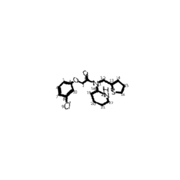 O=C(COc1cccc(Cl)c1)N(CC1CCCS1)C1CCCCN1